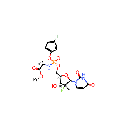 CC(C)OC(=O)[C@H](C)NP(=O)(OC[C@H]1OC(n2ccc(=O)[nH]c2=O)[C@](C)(F)[C@@H]1O)Oc1ccc(Cl)cc1